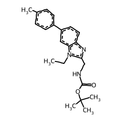 CCn1c(CNC(=O)OC(C)(C)C)nc2ccc(-c3ccc(C)cc3)cc21